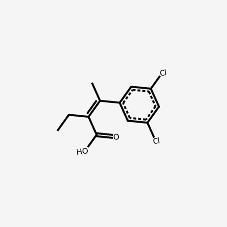 CCC(C(=O)O)=C(C)c1cc(Cl)cc(Cl)c1